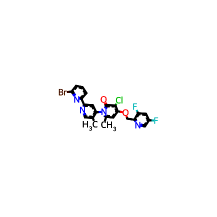 Cc1cnc(-c2cccc(Br)n2)cc1-n1c(C)cc(OCc2ncc(F)cc2F)c(Cl)c1=O